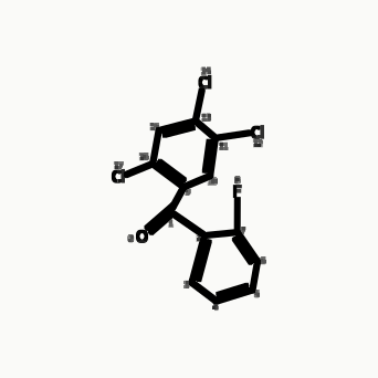 O=C(c1ccccc1F)c1cc(Cl)c(Cl)cc1Cl